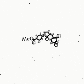 COC(=O)C1CCC(N2CCC(Cc3ccc(Cl)cc3Cl)C2=O)CC1